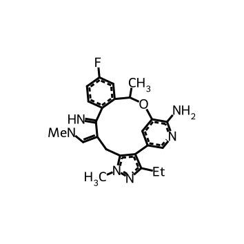 CCc1nn(C)c2c1-c1cnc(N)c(c1)OC(C)c1cc(F)ccc1C(=N)/C(=C\NC)C2